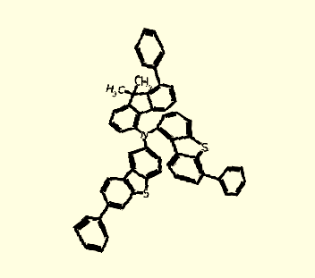 CC1(C)c2cccc(N(c3ccc4sc5cc(-c6ccccc6)ccc5c4c3)c3cccc4sc5c(-c6ccccc6)cccc5c34)c2-c2cccc(-c3ccccc3)c21